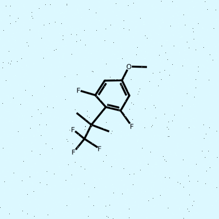 COc1cc(F)c(C(C)(C)C(F)(F)F)c(F)c1